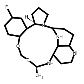 C[C@H]1CCOC2CCC(F)CC2[C@H]2CCCN2C2CCC3NCCC(N1)C3N2